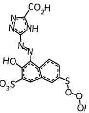 O=C(O)c1nnc(/N=N/c2c(O)c(S(=O)(=O)O)cc3cc(SOOO)ccc23)[nH]1